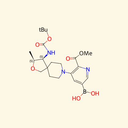 COC(=O)c1ncc(B(O)O)cc1N1CCC2(CC1)CO[C@@H](C)[C@H]2NC(=O)OC(C)(C)C